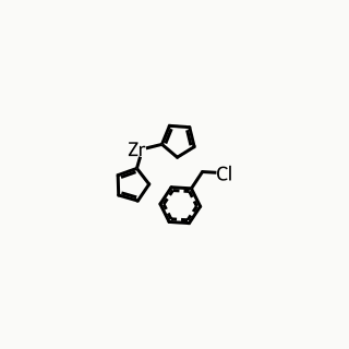 C1=CC[C]([Zr][C]2=CC=CC2)=C1.ClCc1ccccc1